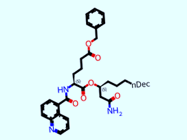 CCCCCCCCCCCCC[C@@H](CC(N)=O)OC(=O)[C@H](CCCC(=O)OCc1ccccc1)NC(=O)c1cccc2ncccc12